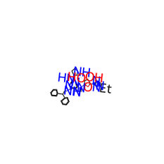 CCn1cnc([C@H]2O[C@@H](n3cnc4c(NCC(c5ccccc5)c5ccccc5)nc(N[C@@H]5CCNC5)nc43)[C@H](O)[C@@H]2O)n1